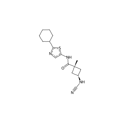 C[C@]1(C(=O)Nc2cnc(C3CCCCC3)s2)C[C@H](NC#N)C1